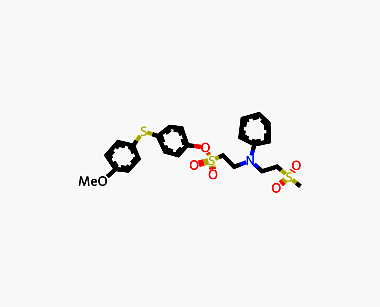 COc1ccc(Sc2ccc(OS(=O)(=O)CCN(CCS(C)(=O)=O)c3ccccc3)cc2)cc1